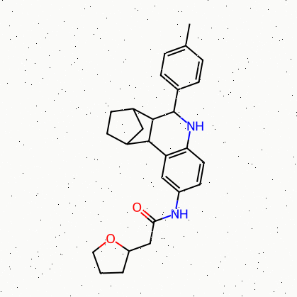 Cc1ccc(C2Nc3ccc(NC(=O)CC4CCCO4)cc3C3C4CCC(C4)C23)cc1